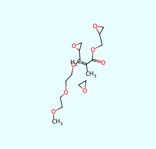 C1CO1.C=C(C)C(=O)OCC1CO1.COCCOCCOCC1CO1